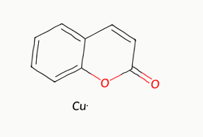 O=c1ccc2ccccc2o1.[Cu]